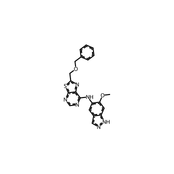 COc1cc2[nH]ncc2cc1Nc1ncnc2sc(COCc3ccccc3)nc12